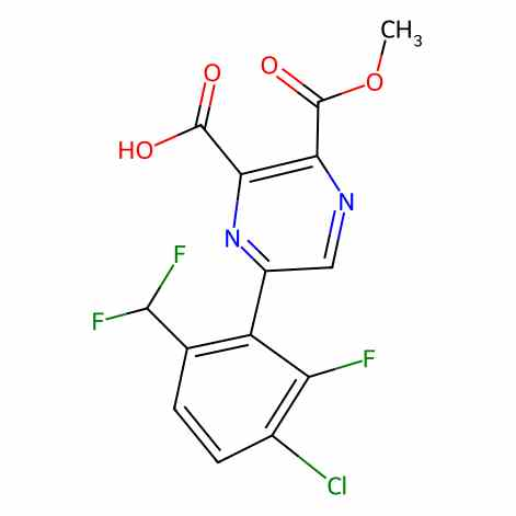 COC(=O)c1ncc(-c2c(C(F)F)ccc(Cl)c2F)nc1C(=O)O